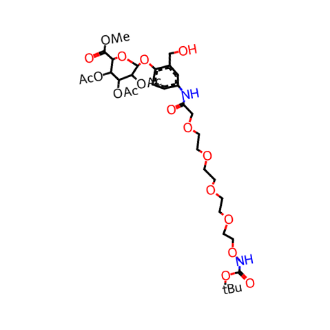 COC(=O)C1OC(Oc2ccc(NC(=O)COCCOCCOCCOCCONC(=O)OC(C)(C)C)cc2CO)C(OC(C)=O)C(OC(C)=O)C1OC(C)=O